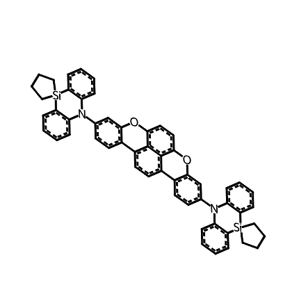 c1ccc2c(c1)N(c1ccc3c(c1)Oc1ccc4c5c(ccc-3c15)-c1ccc(N3c5ccccc5[Si]5(CCCC5)c5ccccc53)cc1O4)c1ccccc1[Si]21CCCC1